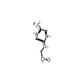 O=CCOc1cnc(C(F)(F)F)cn1